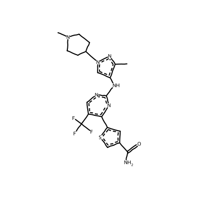 Cc1nn(C2CCN(C)CC2)cc1Nc1ncc(C(F)(F)F)c(-c2cc(C(N)=O)cs2)n1